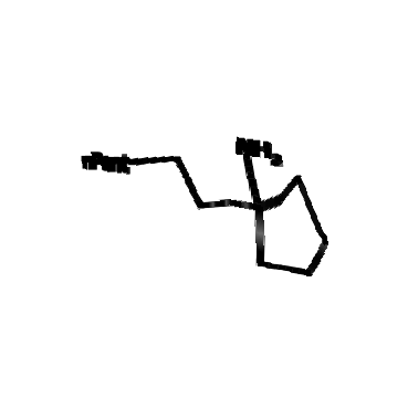 CCCCCCCC1(N)CCCC1